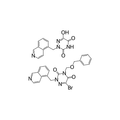 O=c1[nH]c(=O)n(Cc2cccc3cnccc23)nc1O.O=c1c(Br)nn(Cc2cccc3cnccc23)c(=O)n1COCc1ccccc1